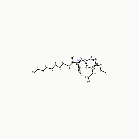 C=C(CCCCCCCCC)/C(C#N)=C/c1ccc(CCC)c(CCC)c1